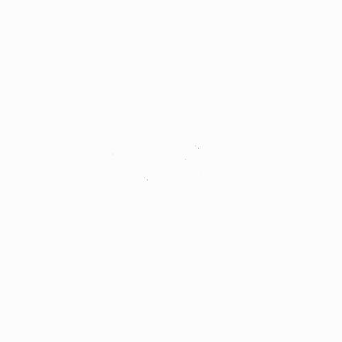 C=C=NC(C)(C)C(C)C(=O)NC(CO)(CO)CO